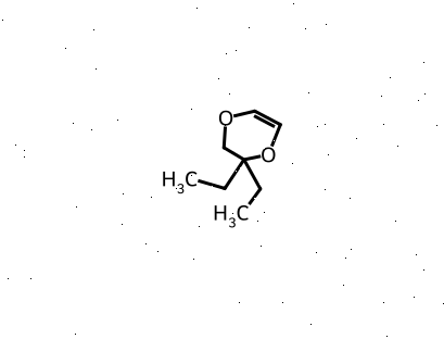 CCC1(CC)COC=CO1